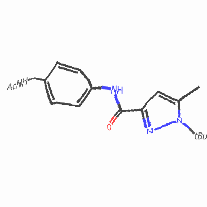 CC(=O)Nc1ccc(NC(=O)c2cc(C)n(C(C)(C)C)n2)cc1